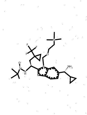 CC(C)(C)[S@@+]([O-])N[C@@H](CC1(C(F)(F)F)CC1)c1nc2ccc([C@H](N)C3CC3)cc2n1COCC[Si](C)(C)C